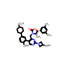 COc1ccc(C2CCC(C(=O)O)CC2)cc1-c1cnc(N2CC(OC)C2)nc1CN1C(=O)O[C@H](c2cc(C)cc(C(F)(F)F)c2)[C@@H]1C